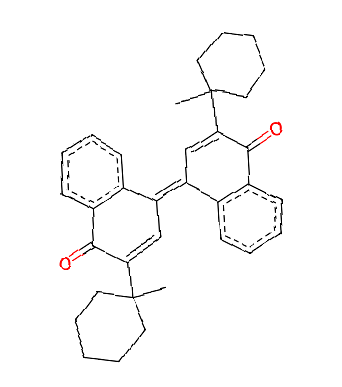 CC1(C2=C/C(=C3/C=C(C4(C)CCCCC4)C(=O)c4ccccc43)c3ccccc3C2=O)CCCCC1